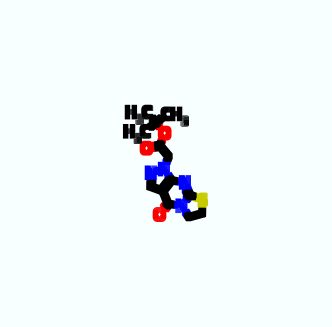 CC(C)(C)OC(=O)Cn1ncc2c(=O)n3c(nc21)SCC3